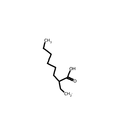 [CH2]CC(CCCCCC)C(=O)O